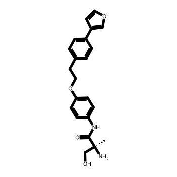 C[C@](N)(CO)C(=O)Nc1ccc(OCCc2ccc(-c3ccoc3)cc2)cc1